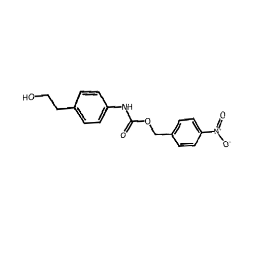 O=C(Nc1ccc(CCO)cc1)OCc1ccc([N+](=O)[O-])cc1